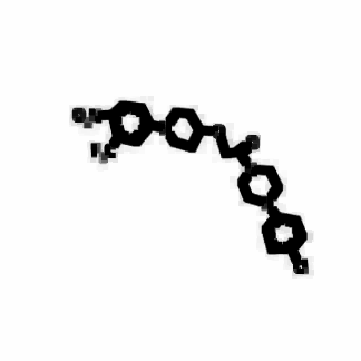 O=C(COC1CCN(c2ccc([N+](=O)[O-])c(C(F)(F)F)c2)CC1)N1CCN(c2ccc(Cl)cc2)CC1